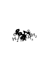 Cn1c([C@H]2C[C@H]2C=CC(N)=O)c(-c2ccc(C(=O)N3CCCC3)cc2)c2c(N)ncnc21